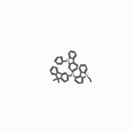 CCn1c2ccccc2c2c(N(c3ccc4c(c3)-c3ccccc3C4(C)C)c3ccc4c5ccccc5n(-c5ccccc5)c4c3)cccc21